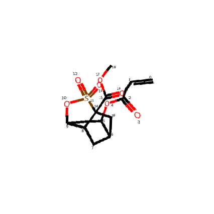 C=CC(=O)OC1C2CC3C1OS(=O)(=O)C3(C(=O)OC)C2